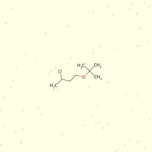 CC(Cl)CCOC(C)(C)C